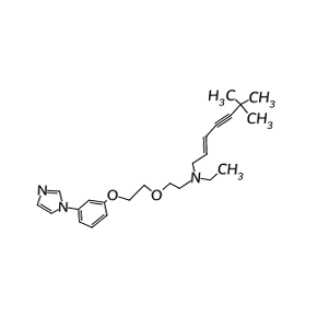 CCN(CC=CC#CC(C)(C)C)CCOCCOc1cccc(-n2ccnc2)c1